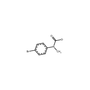 CN(C([O])=O)c1ccc(Br)cc1